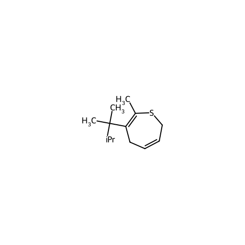 CC1=C(C(C)(C)C(C)C)CC=CCS1